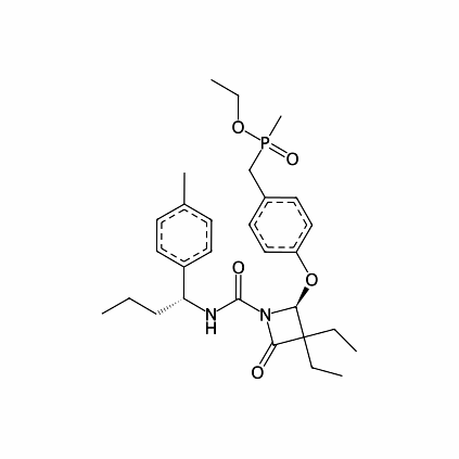 CCC[C@@H](NC(=O)N1C(=O)C(CC)(CC)[C@@H]1Oc1ccc(CP(C)(=O)OCC)cc1)c1ccc(C)cc1